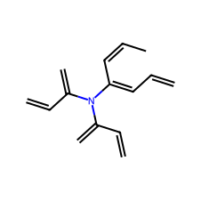 C=C/C=C(\C=C/C)N(C(=C)C=C)C(=C)C=C